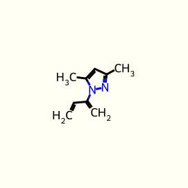 C=CC(=C)n1nc(C)cc1C